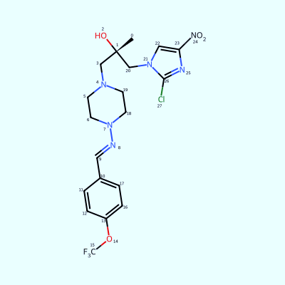 C[C@](O)(CN1CCN(N=Cc2ccc(OC(F)(F)F)cc2)CC1)Cn1cc([N+](=O)[O-])nc1Cl